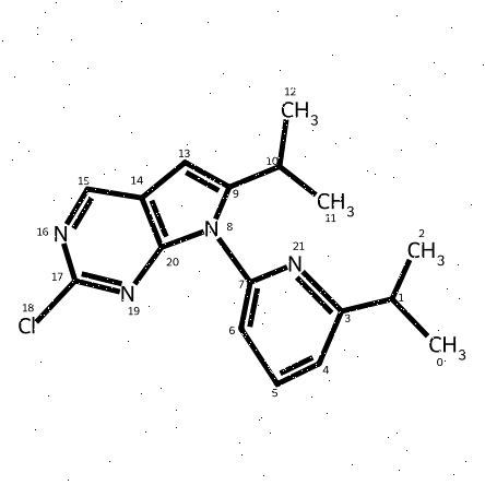 CC(C)c1cccc(-n2c(C(C)C)cc3cnc(Cl)nc32)n1